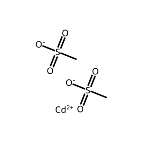 CS(=O)(=O)[O-].CS(=O)(=O)[O-].[Cd+2]